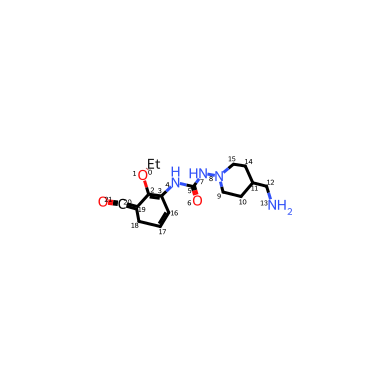 CCOC1=C(NC(=O)NN2CCC(CN)CC2)C=CCC1=C=O